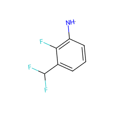 [NH]c1cccc(C(F)F)c1F